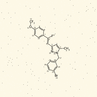 Cc1cc(/C=C(\F)c2ccc(OC(F)(F)F)cc2)nn1Cc1cccc(Br)c1